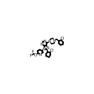 FC(F)Oc1ccc(-n2c(-c3ccccc3Cl)nc3c(N4CCN(Cc5ccccc5Cl)CC4)ncnc32)cn1